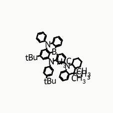 CC(C)(C)c1ccc(N2c3cc(N4c5ccccc5C(C)(C)C5(C)CCCCC45C)ccc3B3c4ccccc4N(c4ccccc4)c4cc(C(C)(C)C)cc2c43)cc1